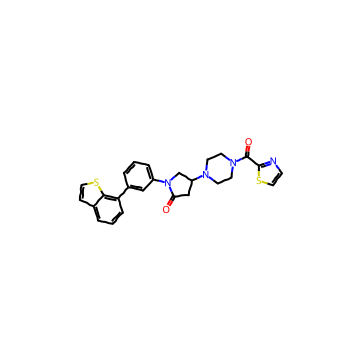 O=C(c1nccs1)N1CCN(C2CC(=O)N(c3cccc(-c4cccc5ccsc45)c3)C2)CC1